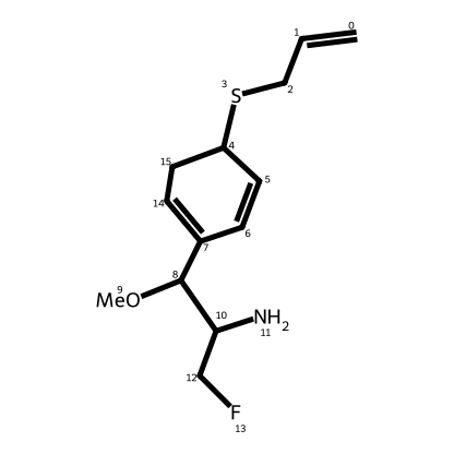 C=CCSC1C=CC(C(OC)C(N)CF)=CC1